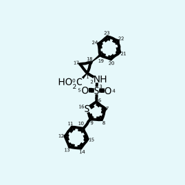 O=C(O)[C@@]1(NS(=O)(=O)c2ccc(-c3ccccc3)s2)C[C@H]1c1ccccc1